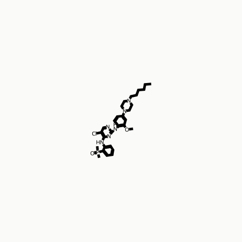 CCCCCCN1CCN(c2ccc(Nc3ncc(Cl)c(Nc4ccccc4P(C)(C)=O)n3)c(OC)c2)CC1